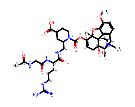 COc1ccc2c3c1O[C@H]1C(OC(=O)N4CCC(C(=O)O)CC4CNC(=O)[C@H](CCCNC(=N)N)NC(=O)CNC(C)=O)=CC[C@@]4(O)[C@@H](C2)N(C)CC[C@]314